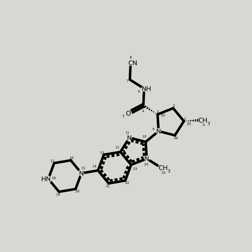 C[C@H]1C[C@@H](C(=O)NCC#N)N(c2nc3cc(N4CCNCC4)ccc3n2C)C1